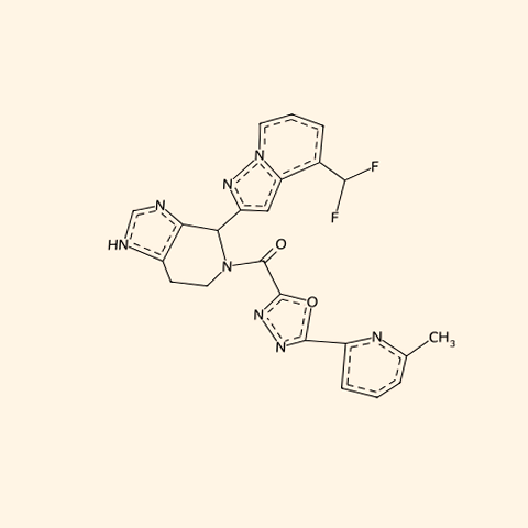 Cc1cccc(-c2nnc(C(=O)N3CCc4[nH]cnc4C3c3cc4c(C(F)F)cccn4n3)o2)n1